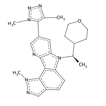 Cc1nnn(C)c1-c1cnc2c3c4c(ccc3n([C@H](C)C3CCOCC3)c2c1)cnn4C